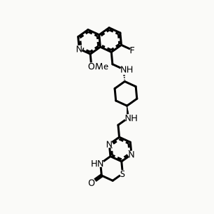 COc1nccc2ccc(F)c(CN[C@H]3CC[C@H](NCc4cnc5c(n4)NC(=O)CS5)CC3)c12